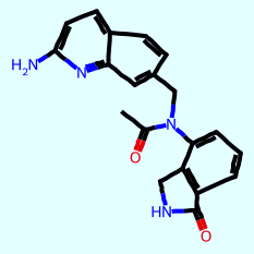 CC(=O)N(Cc1ccc2ccc(N)nc2c1)c1cccc2c1CNC2=O